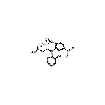 CNCC1=C(n2ccccc2=O)c2cc([N+](=O)[O-])ccc2OC1(C)C